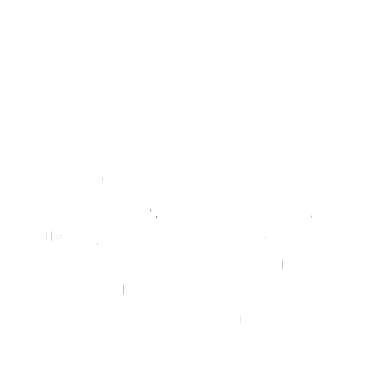 CC(C)OC(=O)CC1c2cc(F)ccc2-c2c1c1cc(F)cc(F)c1n2C(=O)OC(C)(C)C